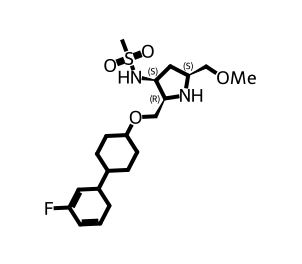 COC[C@@H]1C[C@H](NS(C)(=O)=O)[C@H](COC2CCC(C3C=C(F)C=CC3)CC2)N1